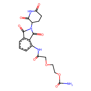 NC(=O)OCCOCC(=O)Nc1cccc2c1C(=O)N(C1CCC(=O)NC1=O)C2=O